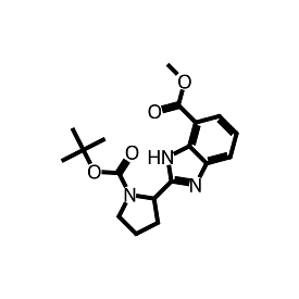 COC(=O)c1cccc2nc(C3CCCN3C(=O)OC(C)(C)C)[nH]c12